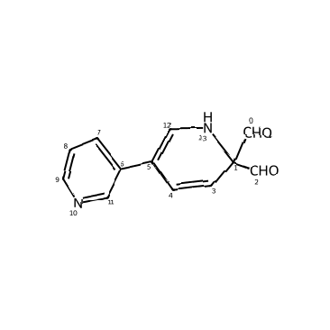 O=CC1(C=O)C=CC(c2cccnc2)=CN1